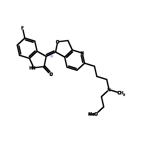 COCCN(C)CCCc1ccc2c(n1)CO/C2=C1/C(=O)Nc2ccc(F)cc21